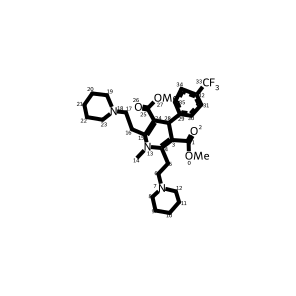 COC(=O)C1=C(CCN2CCCCC2)N(C)C(CCN2CCCCC2)=C(C(=O)OC)C1c1ccc(C(F)(F)F)cc1